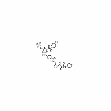 O=C(Nc1ccc(F)cc1)C(=O)NC1CCCC1CNC(=O)c1ccc(Nc2nc(NC3(c4ccc(Cl)cc4)CC3)nc(OCC(F)(F)F)n2)cc1